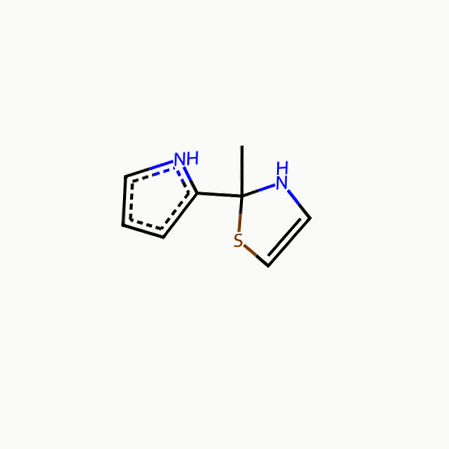 CC1(c2ccc[nH]2)NC=CS1